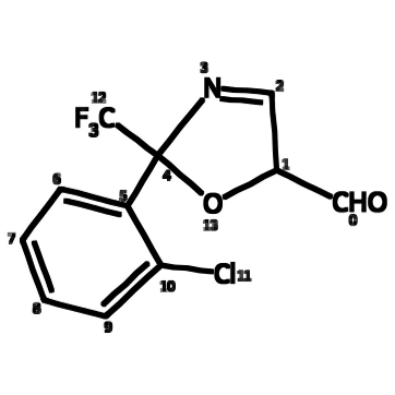 O=CC1C=NC(c2ccccc2Cl)(C(F)(F)F)O1